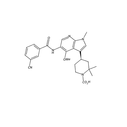 COc1c(NC(=O)c2cccc(C#N)c2)cnc2c1c([C@@H]1CCN(C(=O)O)C(C)(C)C1)cn2C